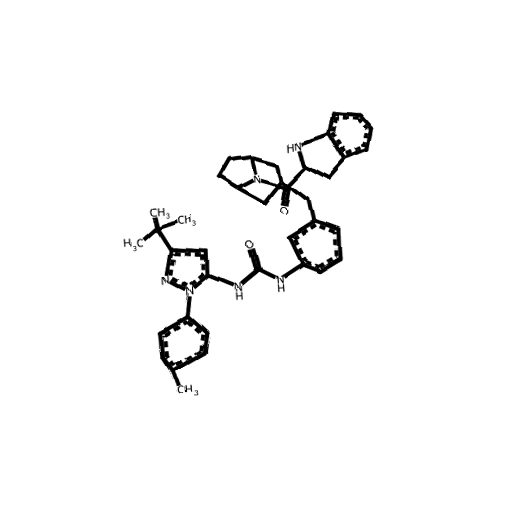 Cc1ccc(-n2nc(C(C)(C)C)cc2NC(=O)Nc2cccc(CC3CC4CCC(C3)N4C(=O)C3Cc4ccccc4N3)c2)cc1